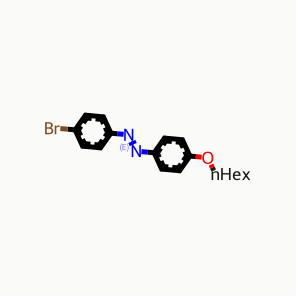 CCCCCCOc1ccc(/N=N/c2ccc(Br)cc2)cc1